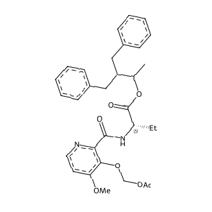 CC[C@H](NC(=O)c1nccc(OC)c1OCOC(C)=O)C(=O)OC(C)C(Cc1ccccc1)Cc1ccccc1